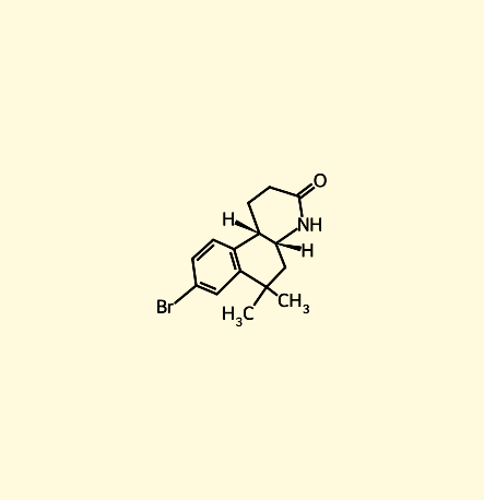 CC1(C)C[C@H]2NC(=O)CC[C@H]2c2ccc(Br)cc21